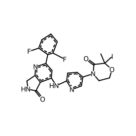 CC1(I)OCCN(c2ccc(Nc3cc(-c4c(F)cccc4F)nc4c3C(=O)NC4)nc2)C1=O